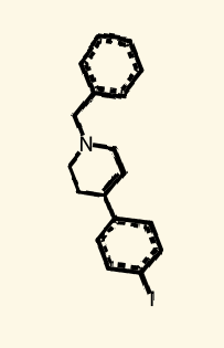 Ic1ccc(C2=CCN(Cc3ccccc3)CC2)cc1